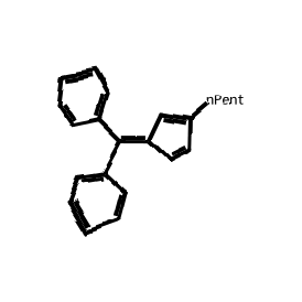 CCCCCC1=CC(=C(c2ccccc2)c2ccccc2)C=C1